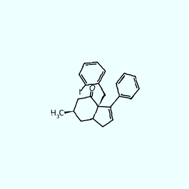 C[C@H]1CC(=O)[C@]2(Cc3ccccc3I)C(c3ccccc3)=CCC2C1